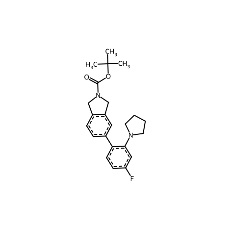 CC(C)(C)OC(=O)N1Cc2ccc(-c3ccc(F)cc3N3CCCC3)cc2C1